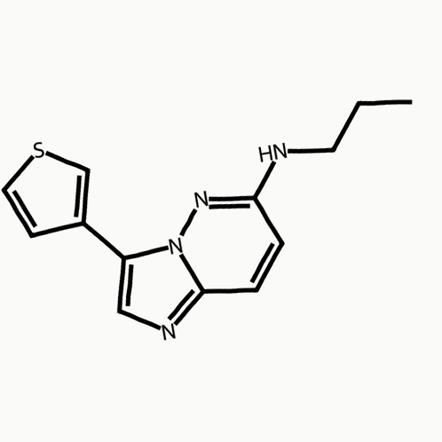 CCCNc1ccc2ncc(-c3ccsc3)n2n1